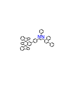 c1ccc(-c2nc(-c3ccc(-c4ccc5c(c4)C4(c6ccccc6-c6ccccc64)c4ccccc4C54c5ccccc5-c5ccccc54)cc3)cc(-c3ccc(-c4ccccc4)c4ccccc34)n2)cc1